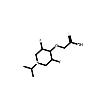 CC(C)N1CC(F)C(OCC(=O)O)C(F)C1